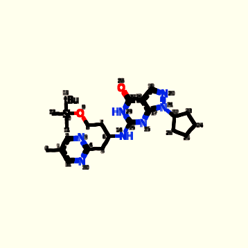 Cc1cnc(CC(CCO[Si](C)(C)C(C)(C)C)Nc2nc3c(cnn3C3CCCC3)c(=O)[nH]2)nc1